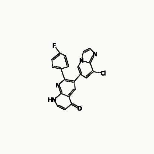 O=c1cc[nH]c2nc(-c3ccc(F)cc3)c(-c3cc(Cl)c4nccn4c3)cc12